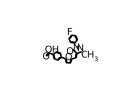 CC1=NN(c2ccc(F)cc2)C(=O)C1=Cc1ccc(-c2ccc(C(=O)O)cc2)o1